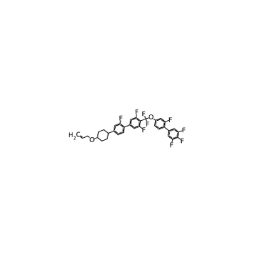 C=CCOC1CCC(c2ccc(-c3cc(F)c(C(F)(F)Oc4ccc(-c5cc(F)c(F)c(F)c5)c(F)c4)c(F)c3)c(F)c2)CC1